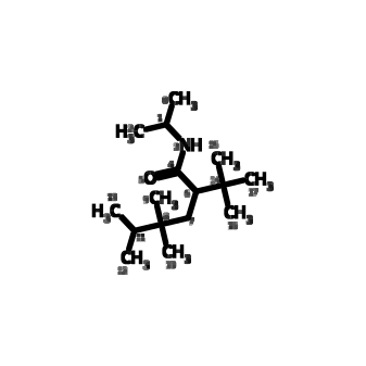 CC(C)NC(=O)C(CC(C)(C)C(C)C)C(C)(C)C